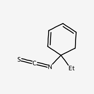 CCC1(N=C=S)C=CC=CC1